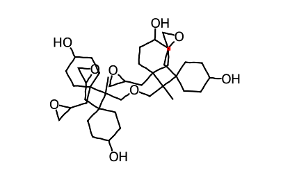 CC(COCC(C)(C1(CC2CO2)CCC(O)CC1)C1(CC2CO2)CCC(O)CC1)(C1(CC2CO2)CCC(O)CC1)C1(CC2CO2)CCC(O)CC1